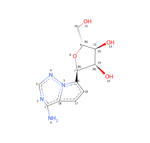 Nc1ncnn2c([C@H]3O[C@H](CO)[C@@H](O)[C@H]3O)ccc12